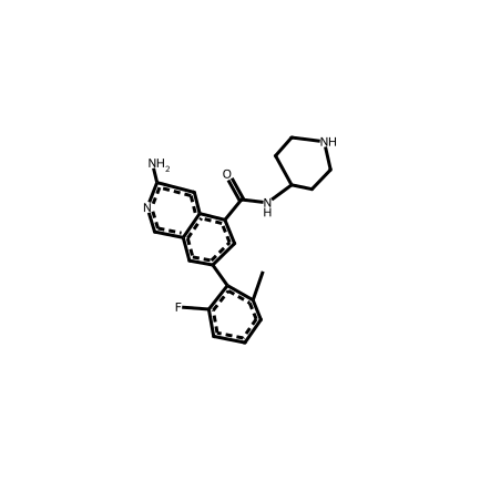 Cc1cccc(F)c1-c1cc(C(=O)NC2CCNCC2)c2cc(N)ncc2c1